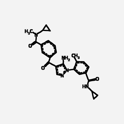 Cc1ccc(C(=O)NC2CC2)cc1-n1ncc(C(=O)c2cccc(C(=O)N(C)C3CC3)c2)c1N